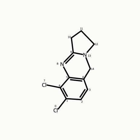 Clc1ccc2c(c1Cl)N=C1CCCN1C2